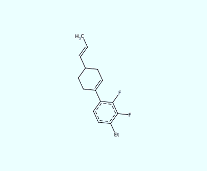 C/C=C/C1CC=C(c2ccc(CC)c(F)c2F)CC1